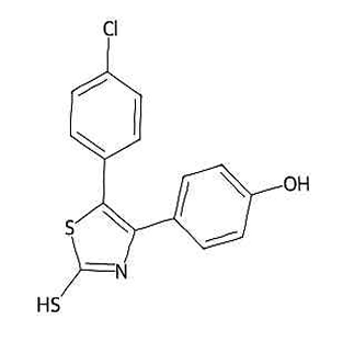 Oc1ccc(-c2nc(S)sc2-c2ccc(Cl)cc2)cc1